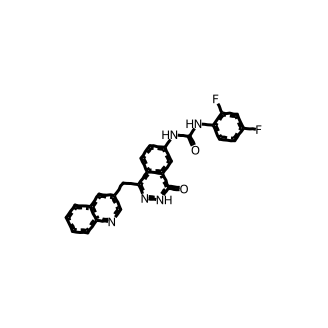 O=C(Nc1ccc2c(Cc3cnc4ccccc4c3)n[nH]c(=O)c2c1)Nc1ccc(F)cc1F